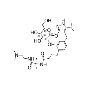 CC(C)c1[nH]nc(O[C@@H]2O[C@H](CO)[C@H](O)[C@H](O)[C@H]2O)c1Cc1ccc(CCCC(=O)NC(C)(C)C(=O)NCCN(C)C)cc1